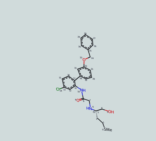 CSCC[C@@H](CO)NCC(=O)Nc1cc(Cl)ccc1-c1cccc(OCc2ccccc2)c1